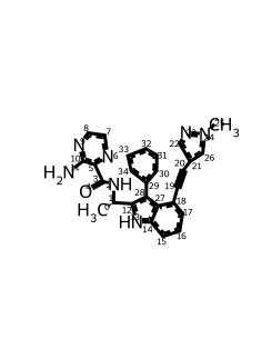 C[C@H](NC(=O)c1nccnc1N)c1[nH]c2cccc(C#Cc3cnn(C)c3)c2c1-c1ccccc1